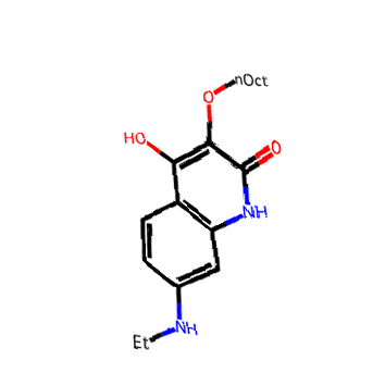 CCCCCCCCOc1c(O)c2ccc(NCC)cc2[nH]c1=O